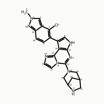 Cn1cc2c(Cl)c(-c3c[nH]c4nc(N5CC6CNC(C6)C5)n5ccnc5c34)ccc2n1